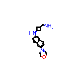 NCC1CC(Nc2ccc3cc(N4CCOCC4)ccc3c2)C1